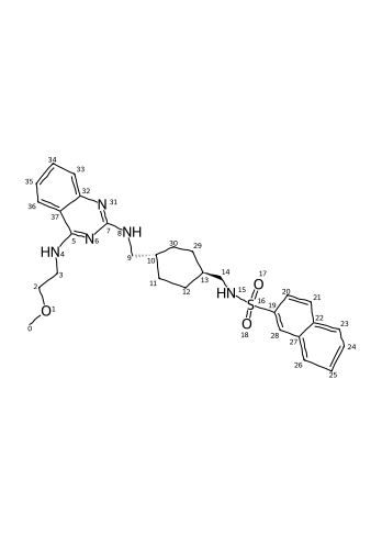 COCCNc1nc(NC[C@H]2CC[C@H](CNS(=O)(=O)c3ccc4ccccc4c3)CC2)nc2ccccc12